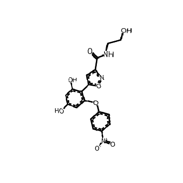 O=C(NCCO)c1cc(-c2c(O)cc(O)cc2Oc2ccc([N+](=O)[O-])cc2)on1